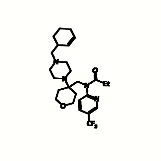 CCC(=O)N(CC1(N2CCN(CC3C=CCCC3)CC2)CCOCC1)c1ccc(C(F)(F)F)cn1